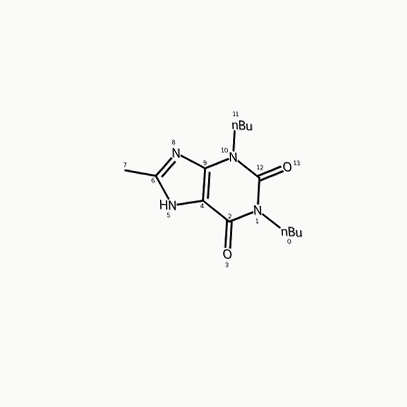 CCCCn1c(=O)c2[nH]c(C)nc2n(CCCC)c1=O